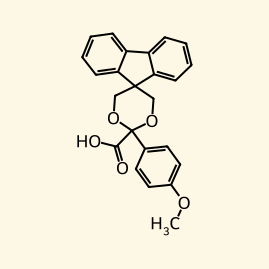 COc1ccc(C2(C(=O)O)OCC3(CO2)c2ccccc2-c2ccccc23)cc1